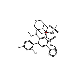 CCOC(=O)CC1(NS(C)(=O)=O)CC2COCC(C1)N2CC1=C(C(=O)OC)[C@H](c2ccc(F)cc2Cl)N=C(c2nccs2)N1